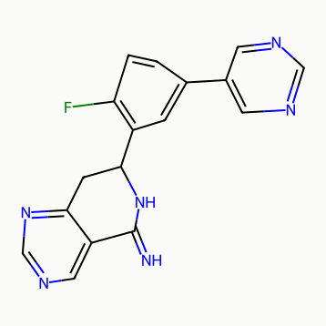 N=C1NC(c2cc(-c3cncnc3)ccc2F)Cc2ncncc21